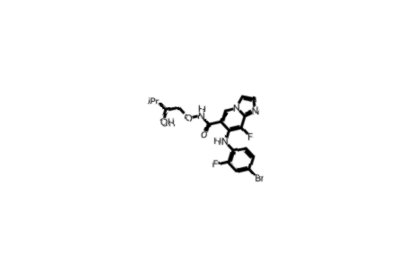 CC(C)C(O)CONC(=O)c1cn2ccnc2c(F)c1Nc1ccc(Br)cc1F